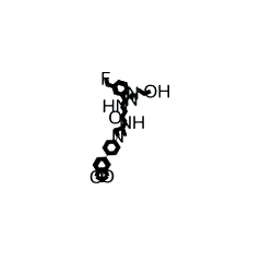 O=C(CNc1nn(CCO)c2ccc(CF)cc12)NC1CN([C@H]2CC[C@@H](c3ccc4c(c3)OCO4)CC2)C1